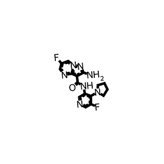 Nc1nn2cc(F)cnc2c1C(=O)Nc1cncc(F)c1N1CCCC1